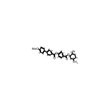 COc1ccc(-c2ccc(C(=O)Oc3ccc(C(=O)OC4CC(C)CCC4C(C)C)cc3)cc2)cc1